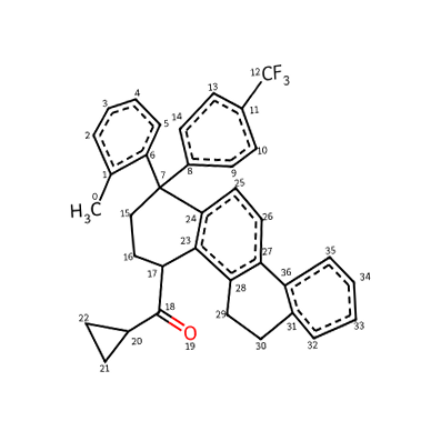 Cc1ccccc1C1(c2ccc(C(F)(F)F)cc2)CCC(C(=O)C2CC2)c2c1ccc1c2CCc2ccccc2-1